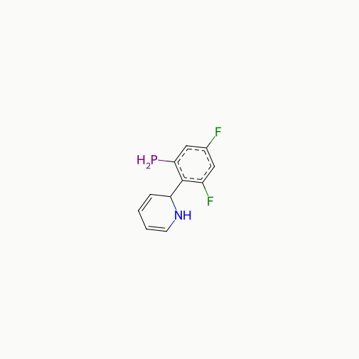 Fc1cc(F)c(C2C=CC=CN2)c(P)c1